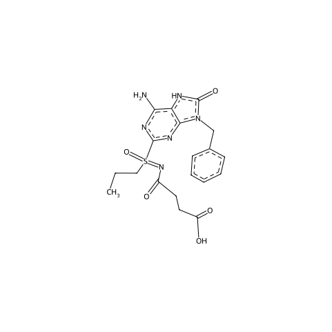 CCCS(=O)(=NC(=O)CCC(=O)O)c1nc(N)c2[nH]c(=O)n(Cc3ccccc3)c2n1